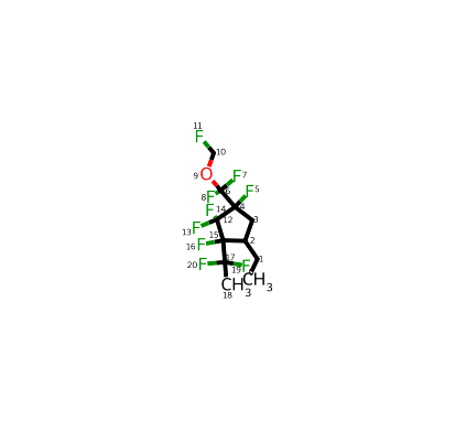 CCC1CC(F)(C(F)(F)OCF)C(F)(F)C1(F)C(C)(F)F